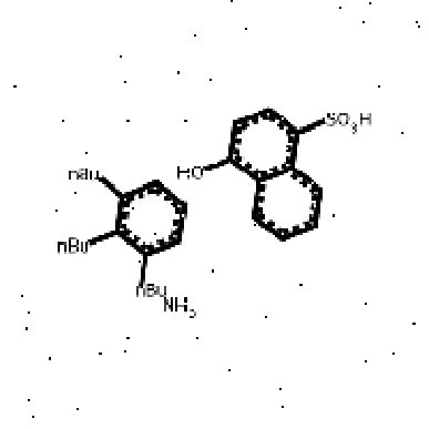 CCCCc1cccc(CCCC)c1CCCC.N.O=S(=O)(O)c1ccc(O)c2ccccc12